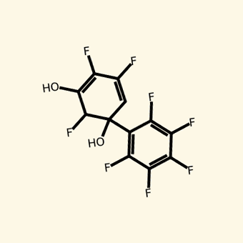 OC1=C(F)C(F)=CC(O)(c2c(F)c(F)c(F)c(F)c2F)C1F